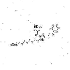 CCCCCCCCCCCCCCCCCCc1nc(CCCc2ccccc2)cn1CCCCCCCCCCCCC